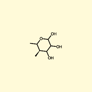 CC1OC(O)C(O)C(O)[C@H]1C